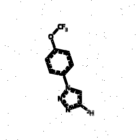 [2H]c1cn(-c2ccc(OC(F)(F)F)cc2)nn1